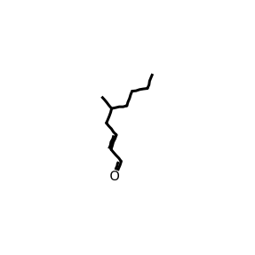 CCCCC(C)C/C=C/C=O